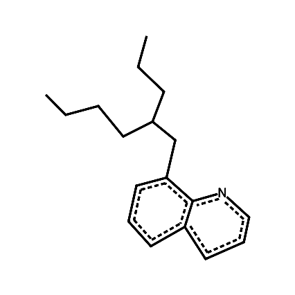 CCCCC(CCC)Cc1cccc2cccnc12